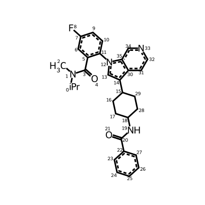 CC(C)N(C)C(=O)c1cc(F)ccc1-n1cc(C2CCC(NC(=O)c3ccccc3)CC2)c2ccncc21